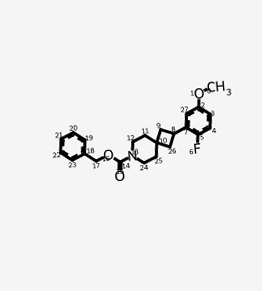 COc1ccc(F)c(C2CC3(CCN(C(=O)OCc4ccccc4)CC3)C2)c1